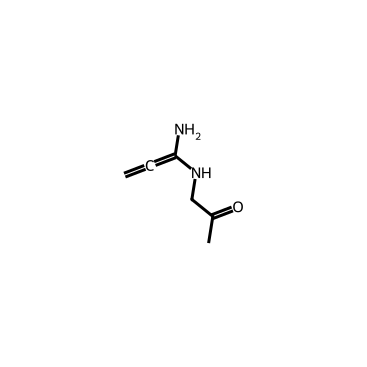 C=C=C(N)NCC(C)=O